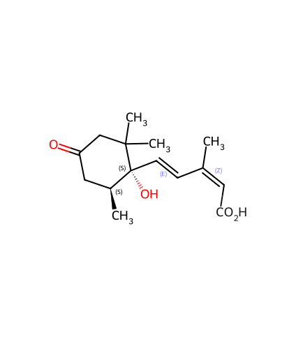 CC(=C/C(=O)O)/C=C/[C@@]1(O)[C@@H](C)CC(=O)CC1(C)C